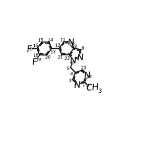 Cc1ncc(Cn2ncc3ncc(-c4ccc(F)c(F)c4)cc32)cn1